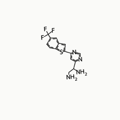 NCC(N)c1cc(-c2cc3cc(C(F)(F)F)ccc3s2)ncn1